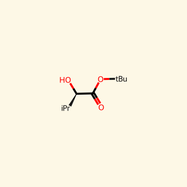 CC(C)[C@@H](O)C(=O)OC(C)(C)C